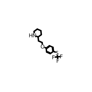 FC(F)(F)Sc1ccc(OCCC2CCCCN2)cc1